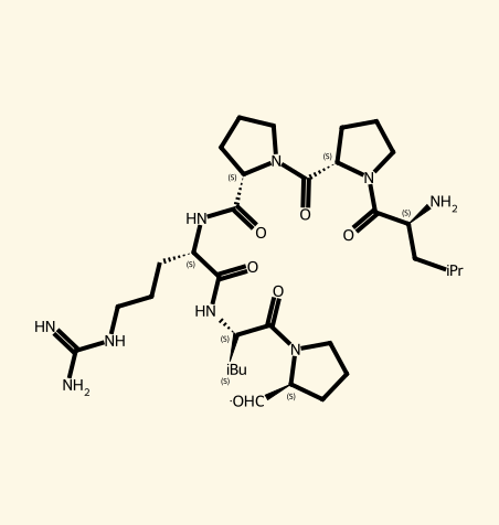 CC[C@H](C)[C@H](NC(=O)[C@H](CCCNC(=N)N)NC(=O)[C@@H]1CCCN1C(=O)[C@@H]1CCCN1C(=O)[C@@H](N)CC(C)C)C(=O)N1CCC[C@H]1[C]=O